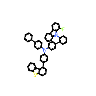 Fc1cccc2c3ccccc3n(-c3ccccc3-c3ccc(N(c4ccc(-c5ccccc5)cc4)c4ccc(-c5cccc6sc7ccccc7c56)cc4)cc3)c12